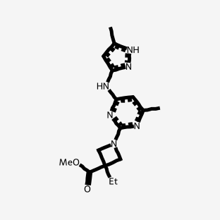 CCC1(C(=O)OC)CN(c2nc(C)cc(Nc3cc(C)[nH]n3)n2)C1